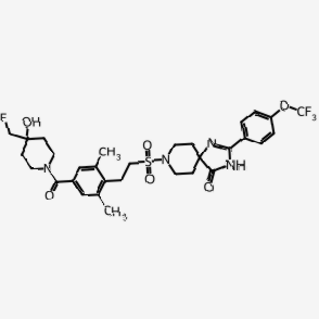 Cc1cc(C(=O)N2CCC(O)(CF)CC2)cc(C)c1CCS(=O)(=O)N1CCC2(CC1)N=C(c1ccc(OC(F)(F)F)cc1)NC2=O